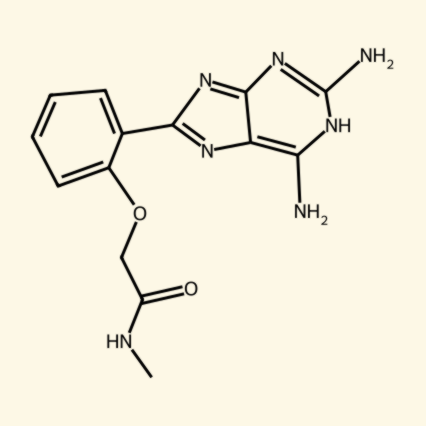 CNC(=O)COc1ccccc1-c1nc2nc(N)[nH]c(N)c-2n1